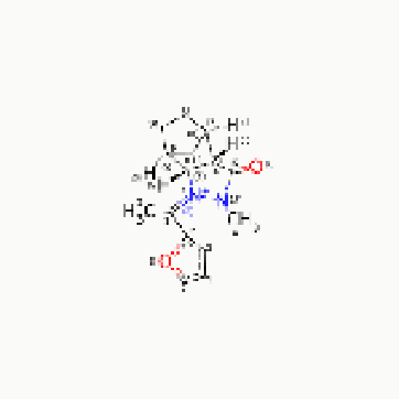 C/C(c1ccco1)=[N+]1\[C@@H]2[C@H]3CC[C@H](C3)[C@@H]2C(=O)N1C